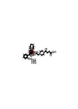 Cl.Cl.Cl.Nc1nnc(-c2ccccc2O)cc1N1CC2CCC(C1)N2c1cccc(OCCN2CCN(C(=O)CCC(=O)O)CC2)c1